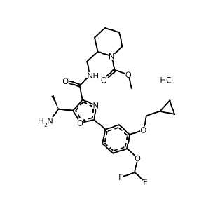 COC(=O)N1CCCCC1CNC(=O)c1nc(-c2ccc(OC(F)F)c(OCC3CC3)c2)oc1[C@H](C)N.Cl